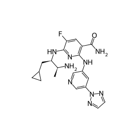 C[C@H](N)[C@@H](CC1CC1)Nc1nc(Nc2cncc(-n3nccn3)c2)c(C(N)=O)cc1F